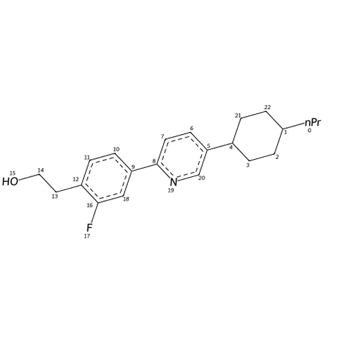 CCCC1CCC(c2ccc(-c3ccc(CCO)c(F)c3)nc2)CC1